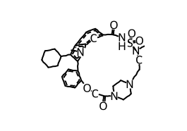 CN1CCN2CCN(CC2)C(=O)COc2ccccc2-c2c(C3CCCCC3)c3ccc(cc3n2C)C(=O)NS1(=O)=O